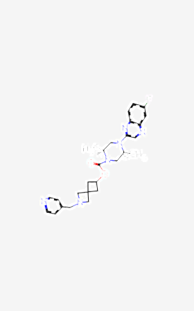 C[C@@H]1CN(c2cnc3cc(F)ccc3n2)[C@@H](C)CN1C(=O)OC1CC2(C1)CN(Cc1ccncc1)C2